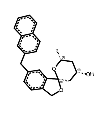 C[C@@H]1C[C@H](O)C[C@@]2(OCc3ccc(Cc4ccc5ccccc5c4)cc32)O1